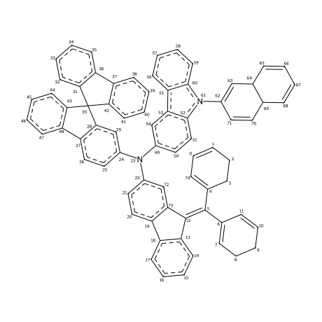 C1=CCCC(/C(C2=CCCC=C2)=C2/c3ccccc3-c3ccc(N(c4ccc5c(c4)C4(c6ccccc6-c6ccccc64)c4ccccc4-5)c4ccc5c(c4)c4ccccc4n5C4=CC5C=CC=CC5C=C4)cc32)=C1